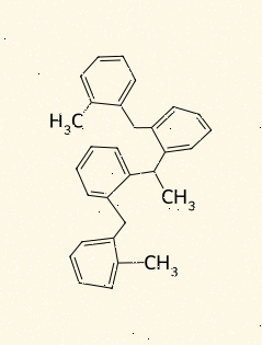 Cc1ccccc1Cc1ccccc1C(C)c1ccccc1Cc1ccccc1C